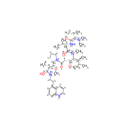 CC[C@H](C)C([C@@H](CC(=O)N1CCC[C@H]1[C@H](OC)[C@@H](C)C(O)NCCc1cccc2ncccc12)OC)N(C)C(=O)[C@@H](NC(=O)[C@H](C(C)C)N(C)C)C(C)C